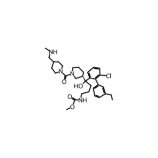 CCc1cccc(-c2c(Cl)cccc2C(O)(CCCNC(=O)OC)[C@@H]2CCCN(C(=O)N3CCC(CNC)CC3)C2)c1